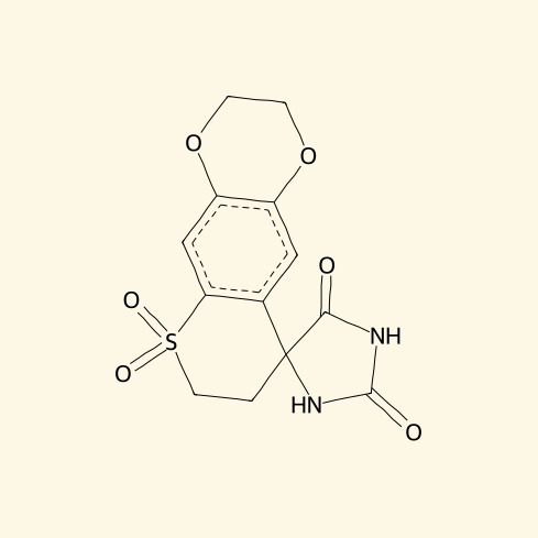 O=C1NC(=O)C2(CCS(=O)(=O)c3cc4c(cc32)OCCO4)N1